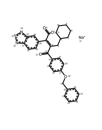 O=C([O-])C(=C(CC1CCCCC1)C(=O)c1ccc(OCc2ccccc2)cc1)c1ccc2nsnc2c1.[Na+]